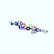 Cn1c(-c2cn([C@@H]3CC3(F)F)nc2C(F)(F)F)cnc1C(=O)Nc1ccc(C(=O)N[C@@H]2[C@@H]3CN(C(=O)O)C[C@@H]32)c(Cl)c1